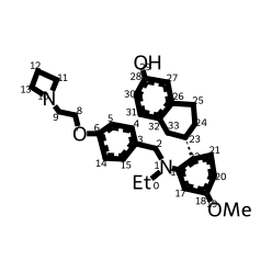 CCN(Cc1ccc(OCCN2CCC2)cc1)c1cc(OC)ccc1[C@H]1CCc2cc(O)ccc2C1